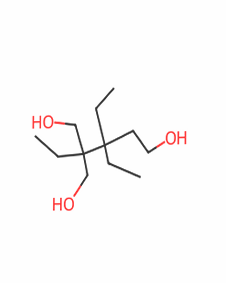 CCC(CO)(CO)C(CC)(CC)CCO